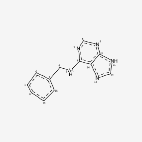 c1ccc(C[AsH]c2ncnc3[nH]cnc23)cc1